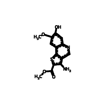 COC(=O)c1sc2c(cnc3cc(O)c(OC)cc32)c1N